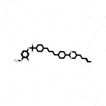 C/C=C/CCC1COC(C2CCC(CCCCC3CCC(C(F)(F)Oc4ccc(OC(F)(F)F)c(F)c4)CC3)CC2)OC1